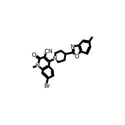 Cc1ccc2oc(C3CCN(c4c(C#N)c(=O)n(C)c5cc(Br)ccc45)CC3)nc2c1